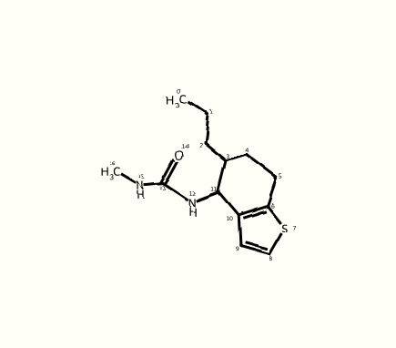 CCCC1CCc2sccc2C1NC(=O)NC